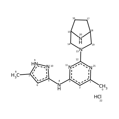 Cc1cc(Nc2cc(C)[nH]n2)nc(N2CC3CCC(C2)N3)n1.Cl